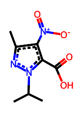 Cc1nn(C(C)C)c(C(=O)O)c1[N+](=O)[O-]